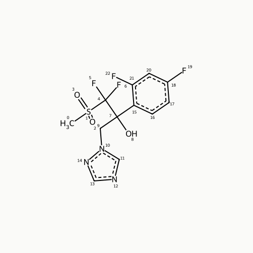 CS(=O)(=O)C(F)(F)C(O)(Cn1cncn1)c1ccc(F)cc1F